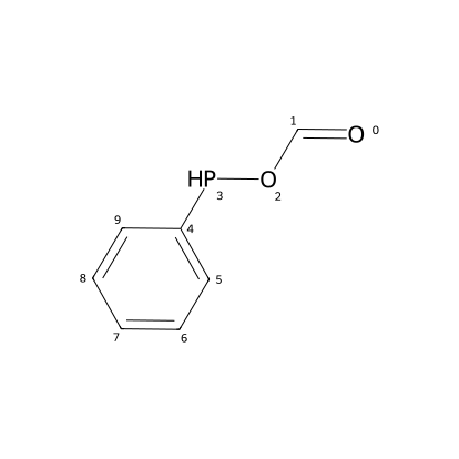 O=COPc1ccccc1